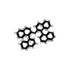 c1ccc2c(-c3c(Cc4ccc5ccccc5c4-c4cccc5ccccc45)ccc4ccccc34)cccc2c1